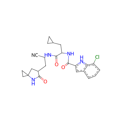 N#CC(CC1CC2(CC2)NC1=O)NC(=O)C(CC1CC1)NC(=O)c1cc2cccc(Cl)c2[nH]1